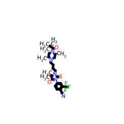 C[C@@H]1CN(C(=O)C(C)(C)C)[C@@H](C)CN1CCCCN1C(=S)N(c2ccc(C#N)c(C(F)(F)F)c2)C(=O)C1(C)C